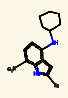 [CH2]Cc1cc2c(NC3CCCCC3)ccc([N+](=O)[O-])c2[nH]1